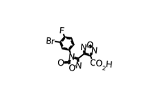 O=C(O)c1nonc1-c1noc(=O)n1-c1ccc(F)c(Br)c1